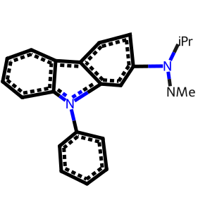 CNN(c1ccc2c3ccccc3n(-c3ccccc3)c2c1)C(C)C